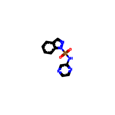 O=S(=O)(Nc1cnccn1)n1ncc2ccccc21